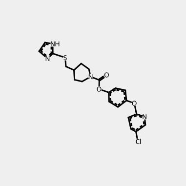 O=C(Oc1ccc(Oc2ccc(Cl)cn2)cc1)N1CCC(CSc2ncc[nH]2)CC1